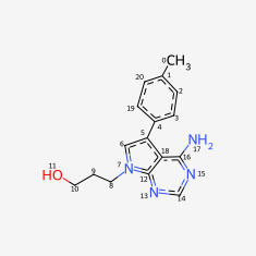 Cc1ccc(-c2cn(CCCO)c3ncnc(N)c23)cc1